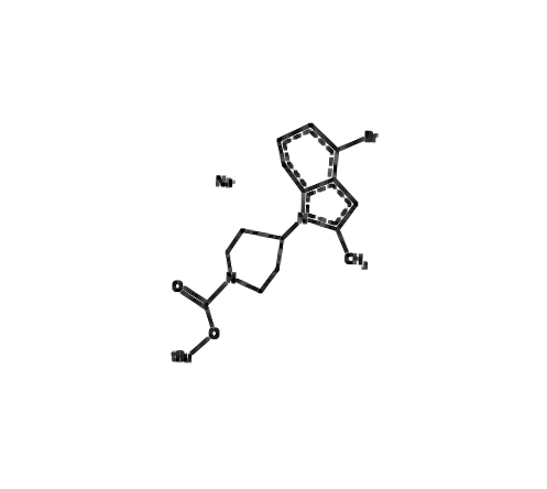 Cc1cc2c(Br)cccc2n1C1CCN(C(=O)OC(C)(C)C)CC1.[Na]